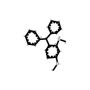 COc1ccc([C](c2ccccc2)c2ccccc2)c(OC)c1